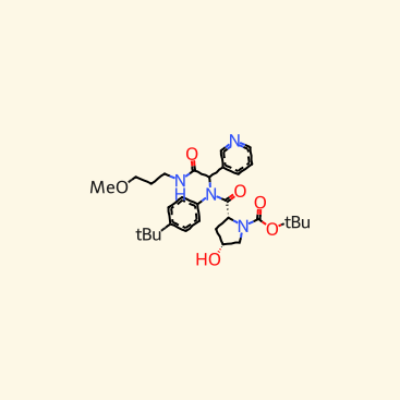 COCCCNC(=O)C(c1cccnc1)N(C(=O)[C@H]1C[C@@H](O)CN1C(=O)OC(C)(C)C)c1ccc(C(C)(C)C)cc1